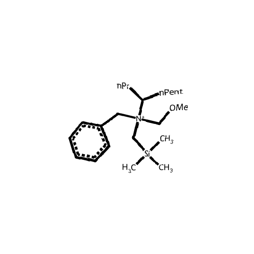 CCCCCC(CCC)[N+](COC)(Cc1ccccc1)C[Si](C)(C)C